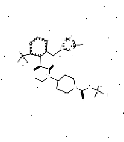 C=C(C(=O)N(CC)C1CCN(C(=O)OC(C)(C)C)CC1)c1c(Cn2nnc(C)n2)cccc1C(F)(F)F